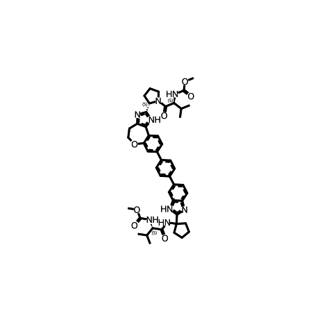 COC(=O)N[C@H](C(=O)NC1(c2nc3ccc(-c4ccc(-c5ccc6c(c5)OCCc5nc([C@@H]7CCCN7C(=O)[C@@H](NC(=O)OC)C(C)C)[nH]c5-6)cc4)cc3[nH]2)CCCC1)C(C)C